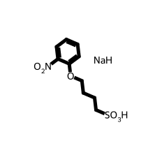 O=[N+]([O-])c1ccccc1OCCCCS(=O)(=O)O.[NaH]